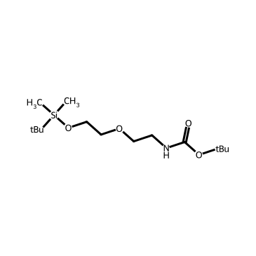 CC(C)(C)OC(=O)NCCOCCO[Si](C)(C)C(C)(C)C